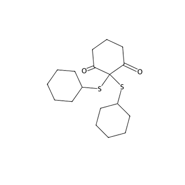 O=C1CCCC(=O)C1(SC1CCCCC1)SC1CCCCC1